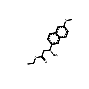 CCOC(=O)C[C@H](N)c1ccc2cc(OC)ccc2c1